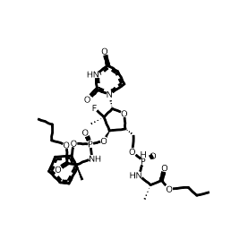 CCCOC(=O)[C@H](C)N[PH](=O)OC[C@H]1O[C@@H](n2ccc(=O)[nH]c2=O)[C@](C)(F)[C@@H]1OP(=O)(N[C@@H](C)C(=O)OCCC)Oc1ccccc1